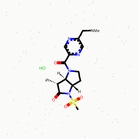 CNCc1cnc(C(=O)N2CC[C@H]3[C@H]2[C@@H](C(C)C)C(=O)N3S(C)(=O)=O)cn1.Cl